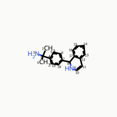 CC(C)(N)c1ccc(C2NC=Cc3[c]cccc32)cc1